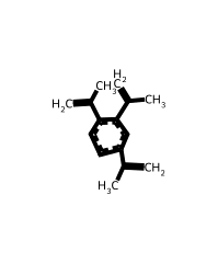 C=C(C)c1ccc(C(=C)C)c(C(=C)C)c1